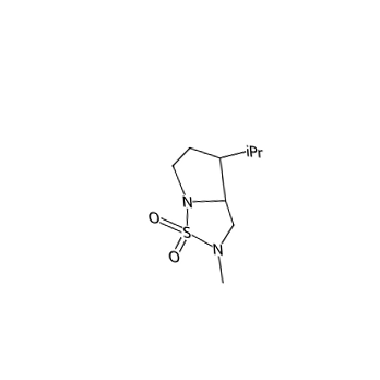 CC(C)C1CCN2C1CN(C)S2(=O)=O